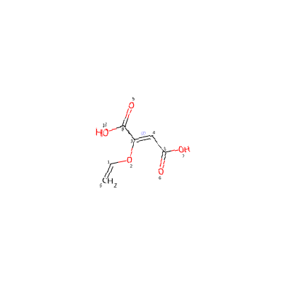 C=CO/C(=C\C(=O)O)C(=O)O